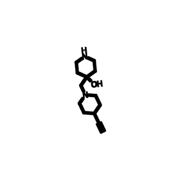 C#CC1CCN(CC2(O)CCNCC2)CC1